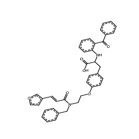 O=C(c1ccccc1)c1ccccc1NC(Cc1ccc(OCCN(Cc2ccccc2)C(=O)C=Cc2ccoc2)cc1)C(=O)O